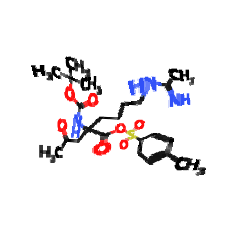 CC(=N)NCCCCC(CC(C)=O)(NC(=O)OC(C)(C)C)C(=O)OS(=O)(=O)c1ccc(C)cc1